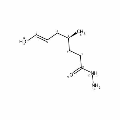 C/C=C/C[C@@H](C)CCC(=O)NN